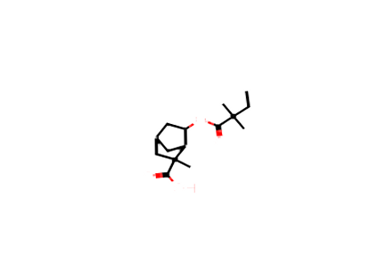 CCC(C)(C)C(=O)OC1CC2CC1C(C)(C(=O)O)C2